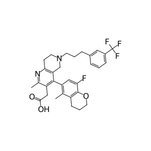 Cc1nc2c(c(-c3cc(F)c4c(c3C)CCCO4)c1CC(=O)O)CN(CCCc1cccc(C(F)(F)F)c1)CC2